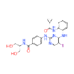 O=C(NC(CO)CO)c1ccc(Nc2ncc(I)c(Nc3ccccc3NC(=O)C3CC3)n2)cc1